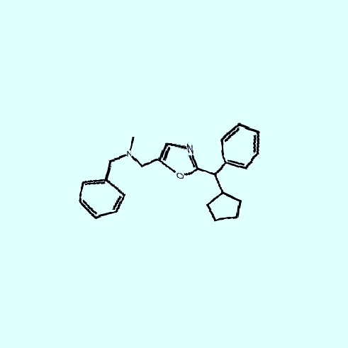 CN(Cc1ccccc1)Cc1cnc(C(c2ccccc2)C2CCCC2)o1